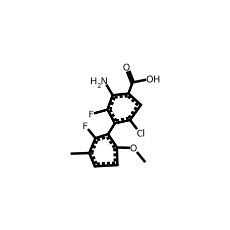 COc1ccc(C)c(F)c1-c1c(Cl)cc(C(=O)O)c(N)c1F